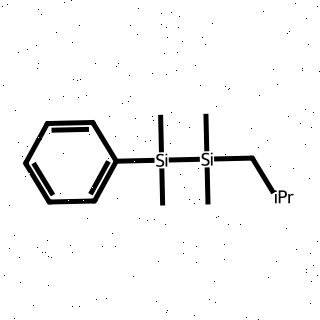 CC(C)C[Si](C)(C)[Si](C)(C)c1ccccc1